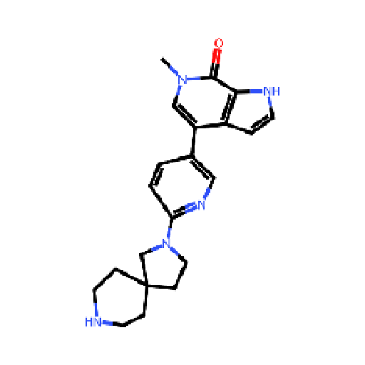 Cn1cc(-c2ccc(N3CCC4(CCNCC4)C3)nc2)c2cc[nH]c2c1=O